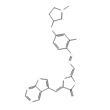 CN1CCC(Oc2ccc(/N=N/C=c3/[nH]c(=O)/c(=C/c4c[nH]c5ncncc45)s3)c(Cl)c2)C1